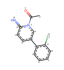 CC(=O)n1cc(-c2ccccc2Cl)ccc1=N